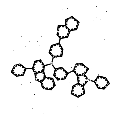 c1ccc(-c2ccc(N(c3ccc(-c4ccc5ccccc5c4)cc3)c3cccc(-c4cccc5c4c4ccccc4n5-c4ccccc4)c3)c3c2sc2ccccc23)cc1